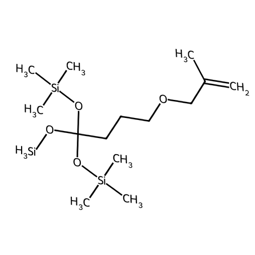 C=C(C)COCCCC(O[SiH3])(O[Si](C)(C)C)O[Si](C)(C)C